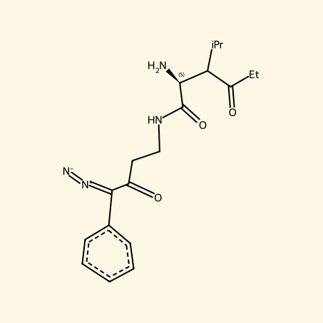 CCC(=O)C(C(C)C)[C@H](N)C(=O)NCCC(=O)C(=[N+]=[N-])c1ccccc1